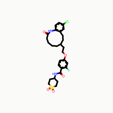 O=C1CCCCC(CCOc2ccc(C(=O)NC3CCS(=O)(=O)CC3)c(F)c2)CCc2cc(Cl)ccc2N1